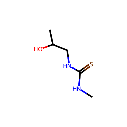 CNC(=S)NCC(C)O